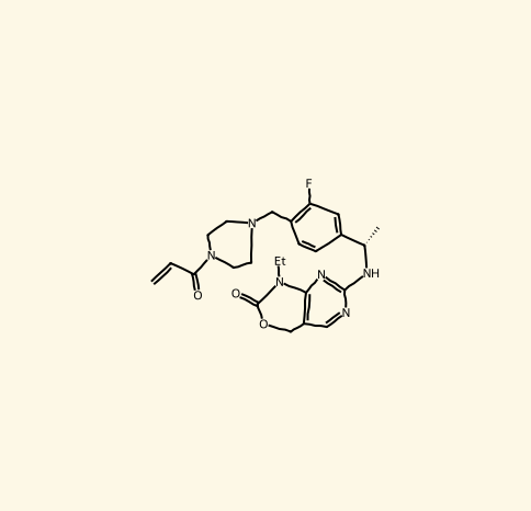 C=CC(=O)N1CCN(Cc2ccc([C@H](C)Nc3ncc4c(n3)N(CC)C(=O)OC4)cc2F)CC1